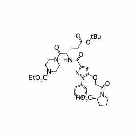 CCOC(=O)N1CCN(C(=O)[C@H](CCC(=O)OC(C)(C)C)NC(=O)c2cc(OCC(=O)N3CCC[C@H]3C(=O)O)n(-c3ccccc3)n2)CC1